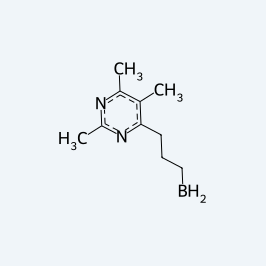 BCCCc1nc(C)nc(C)c1C